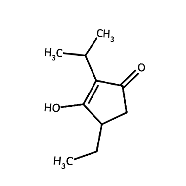 CCC1CC(=O)C(C(C)C)=C1O